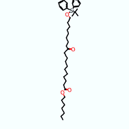 CCCCCCCOC(=O)CCCCCCCCCC(=O)CCCCCCCCO[Si](c1ccccc1)(c1ccccc1)C(C)(C)C